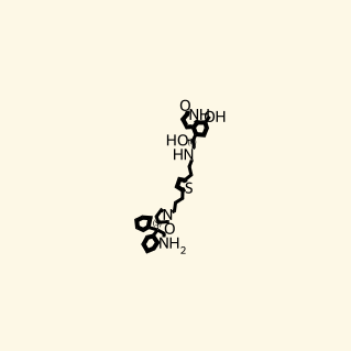 NC(=O)C(c1ccccc1)(c1ccccc1)[C@@H]1CCN(CCCc2ccc(CCCNC[C@H](O)c3ccc(O)c4[nH]c(=O)ccc34)s2)C1